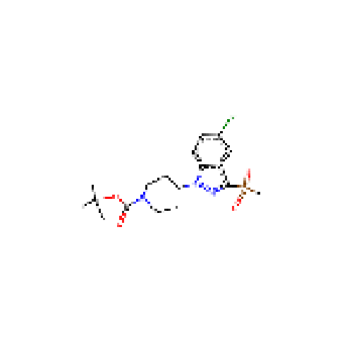 CC(C)(C)OC(=O)N1CCC(n2nc(S(C)(=O)=O)c3cc(Br)ccc32)CC1